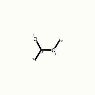 COC(C)[O]